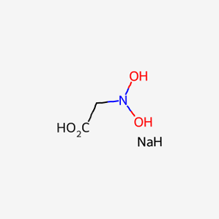 O=C(O)CN(O)O.[NaH]